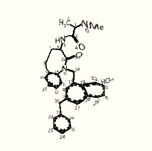 CNC(C)C(=O)NC1CCc2ccccc2N(Cc2cc(Cc3ccccc3)cc3ccccc23)C1=O.Cl